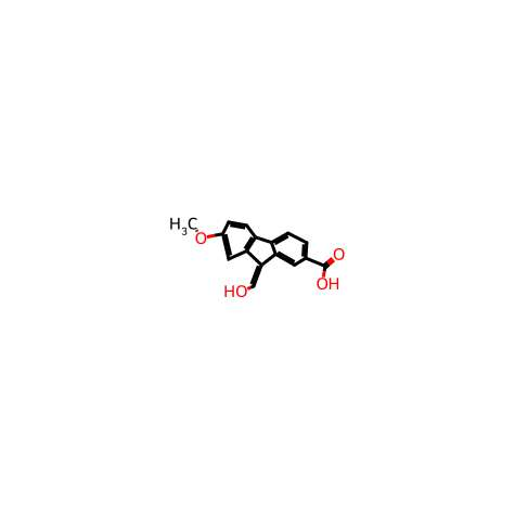 COc1ccc2c(c1)/C(=C\O)c1cc(C(=O)O)ccc1-2